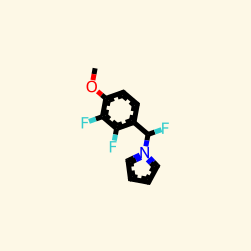 COc1ccc(C(F)n2cccc2)c(F)c1F